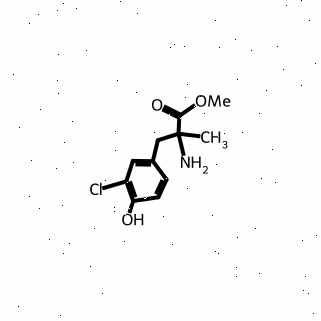 COC(=O)C(C)(N)Cc1ccc(O)c(Cl)c1